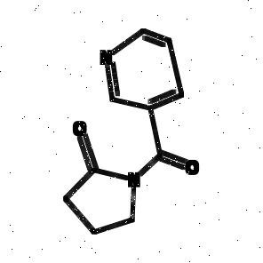 O=C1CCCN1C(=O)c1cccnc1